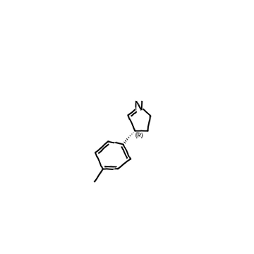 Cc1ccc([C@@H]2C=NCC2)cc1